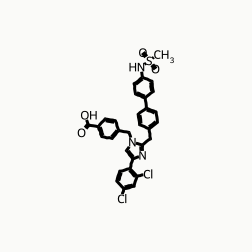 CS(=O)(=O)Nc1ccc(-c2ccc(Cc3nc(-c4ccc(Cl)cc4Cl)cn3Cc3ccc(C(=O)O)cc3)cc2)cc1